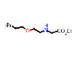 CCOC(=O)CNCCOCCC(C)C